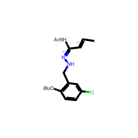 C/C=C/C(=N\NCc1cc(Cl)ccc1OCC(C)C)NC(C)=O